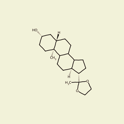 CC1([C@H]2CCC3C4CC[C@H]5C[C@@H](O)CC[C@]5(C)C4CC[C@@H]32)OCCO1